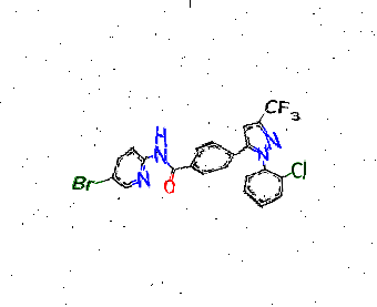 O=C(Nc1ccc(Br)cn1)c1ccc(-c2cc(C(F)(F)F)nn2-c2ccccc2Cl)cc1